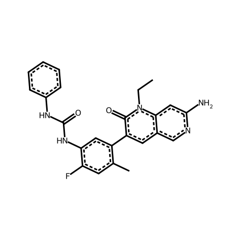 CCn1c(=O)c(-c2cc(NC(=O)Nc3ccccc3)c(F)cc2C)cc2cnc(N)cc21